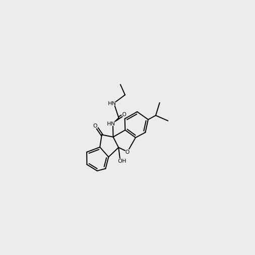 CCNC(=O)NC12C(=O)c3ccccc3C1(O)Oc1cc(C(C)C)ccc12